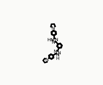 c1cc(-c2n[nH]c(-c3ccc(N4CCCC4)cc3)n2)cc(-c2n[nH]c(-c3ccc(N4CCCC4)cc3)n2)c1